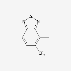 Cc1c(C(F)(F)F)ccc2nsnc12